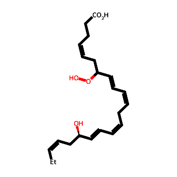 CC/C=C\C[C@@H](O)/C=C/C=C\C/C=C\C=C\C(C/C=C\CCC(=O)O)OO